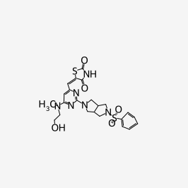 CN(CCO)c1cc(C=C2SC(=O)NC2=O)nc(N2CC3CN(S(=O)(=O)c4ccccc4)CC3C2)n1